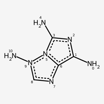 Nc1nc(N)n2c1ncn2N